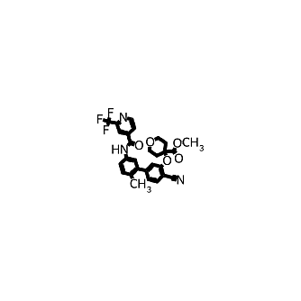 COC(=O)C1(Oc2cc(-c3cc(NC(=O)c4ccnc(C(F)(F)F)c4)ccc3C)ccc2C#N)CCOCC1